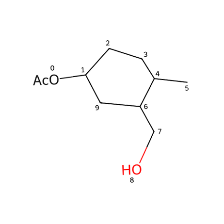 CC(=O)OC1CCC(C)C(CO)C1